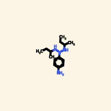 CCC(C)NN(NC(C)CC)c1ccc(N)cc1